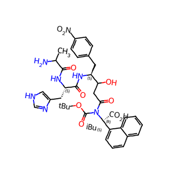 CC[C@H](C)[C@](C(=O)O)(c1cccc2ccccc12)N(C(=O)CC(O)[C@H](Cc1ccc([N+](=O)[O-])cc1)NC(=O)[C@H](Cc1c[nH]cn1)NC(=O)C(C)N)C(=O)OC(C)(C)C